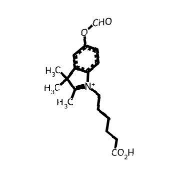 CC1=[N+](CCCCCC(=O)O)c2ccc(OC=O)cc2C1(C)C